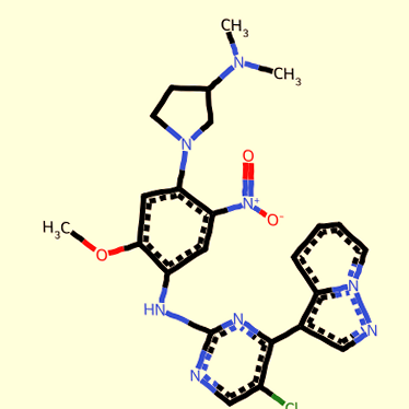 COc1cc(N2CCC(N(C)C)C2)c([N+](=O)[O-])cc1Nc1ncc(Cl)c(-c2cnn3ccccc23)n1